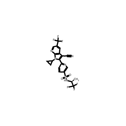 C[C@H](NS(=O)(=O)c1ccc(-c2c(C#N)c3cc(C(F)(F)F)cnc3n2C2CC2)nc1)C(F)(F)F